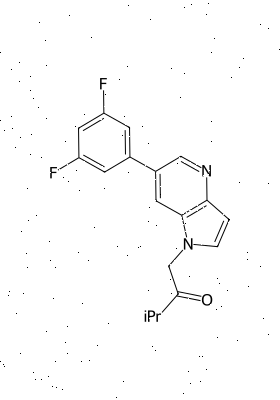 CC(C)C(=O)Cn1ccc2ncc(-c3cc(F)cc(F)c3)cc21